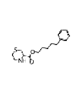 O=C(OCCCCCc1ccccc1)C1CSCCN1